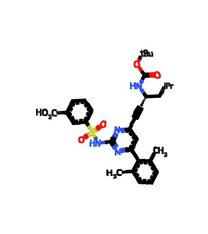 Cc1cccc(C)c1-c1cc(C#C[C@@H](CC(C)C)NC(=O)OC(C)(C)C)nc(NS(=O)(=O)c2cccc(C(=O)O)c2)n1